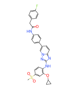 CS(=O)(=O)c1ccc(Nc2nc3ccc(-c4ccc(NC(=O)Cc5ccc(F)cc5)cc4)cn3n2)c(OC2CC2)c1